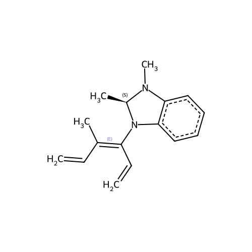 C=C/C(C)=C(\C=C)N1c2ccccc2N(C)[C@@H]1C